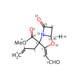 C=CCC1(C(=O)OC)C(=CC=O)O[C@@H]2CC(=O)N21